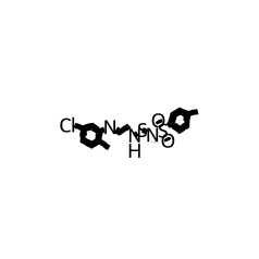 Cc1ccc(S(=O)(=O)N(C)SNCC=Nc2cc(Cl)ccc2C)cc1